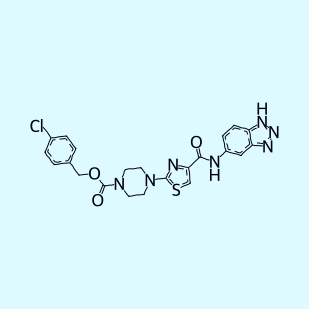 O=C(Nc1ccc2[nH]nnc2c1)c1csc(N2CCN(C(=O)OCc3ccc(Cl)cc3)CC2)n1